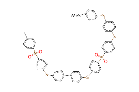 CSc1ccc(Sc2ccc(Sc3ccc(S(=O)(=O)c4ccc(Sc5ccc(-c6ccc(Sc7ccc(S(=O)(=O)c8ccc(C)cc8)cc7)cc6)cc5)cc4)cc3)cc2)cc1